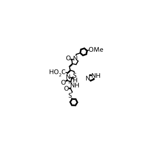 COc1ccc(CN2CCC(=CC3=C(C(=O)O)N4C(=O)[C@@H](NC(=O)CSc5ccccc5)[C@H]4SC3)C2=O)cc1.c1c[nH]cn1